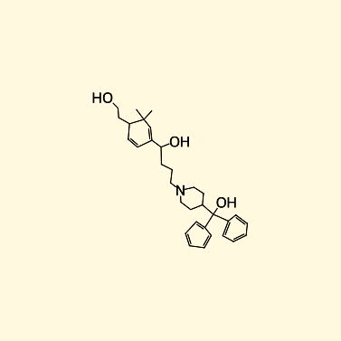 CC1(C)C=C(C(O)CCCN2CCC(C(O)(c3ccccc3)c3ccccc3)CC2)C=CC1CCO